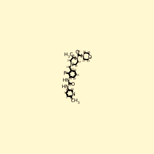 Cc1ccc(NC(=O)Nc2cccc(CN3CCN(C(=O)N4CCOCC4)[C@H](C)C3)c2F)cn1